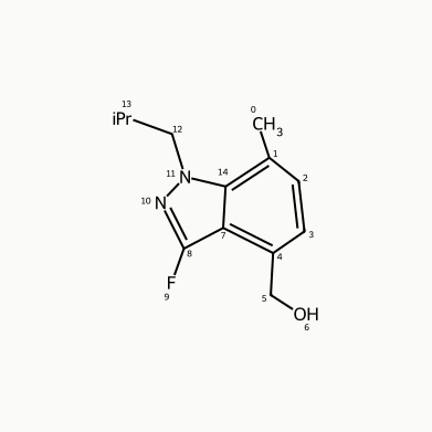 Cc1ccc(CO)c2c(F)nn(CC(C)C)c12